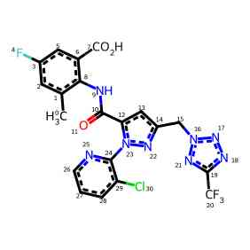 Cc1cc(F)cc(C(=O)O)c1NC(=O)c1cc(Cn2nnc(C(F)(F)F)n2)nn1-c1ncccc1Cl